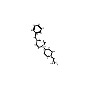 CCN1CCC(N2CCN(Cc3ccccc3)CC2)CC1